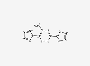 COc1cc(-c2cnco2)ccc1-n1cccn1